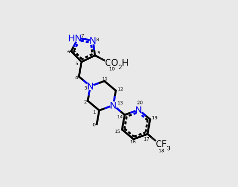 CC1CN(Cc2c[nH]nc2C(=O)O)CCN1c1ccc(C(F)(F)F)cn1